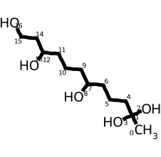 CC(O)(O)CCCC(O)CCCC(O)CCO